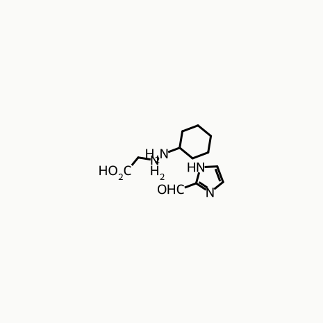 NC1CCCCC1.NCC(=O)O.O=Cc1ncc[nH]1